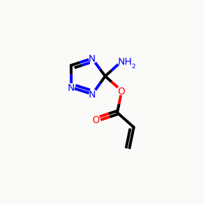 C=CC(=O)OC1(N)N=CN=N1